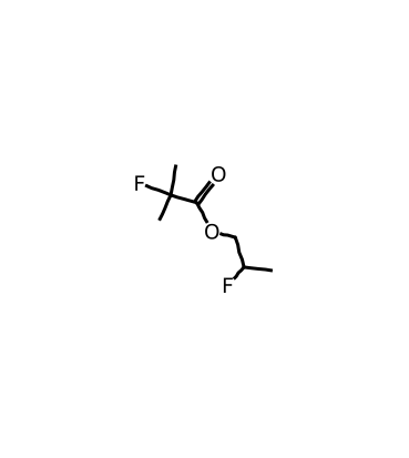 CC(F)COC(=O)C(C)(C)F